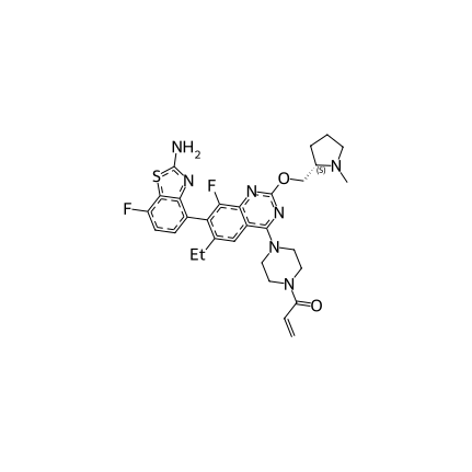 C=CC(=O)N1CCN(c2nc(OC[C@@H]3CCCN3C)nc3c(F)c(-c4ccc(F)c5sc(N)nc45)c(CC)cc23)CC1